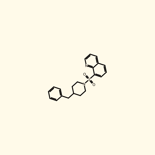 O=S(=O)(c1cccc2cccnc12)N1CCC(Cc2ccccc2)CC1